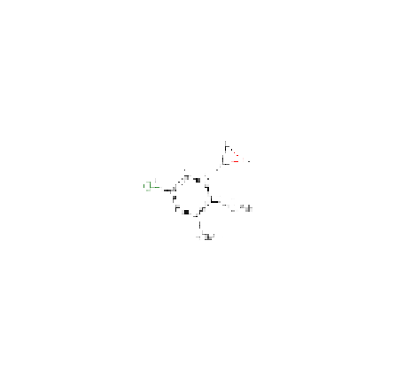 COc1cc(Cl)cc([C@@H]2CO2)c1OC